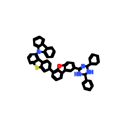 c1ccc(C2N=C(c3ccc4oc5c(-c6ccc7c(c6)sc6cccc(-n8c9ccccc9c9ccccc98)c67)cccc5c4c3)NC(c3ccccc3)N2)cc1